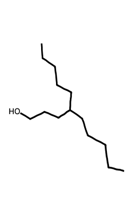 CCCCCC(CCCO)CCCCC